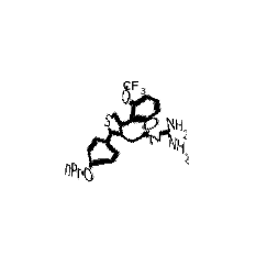 CCCOc1ccc(-c2scc(-c3ccccc3OC(F)(F)F)c2CC(=O)N=C(N)N)cc1